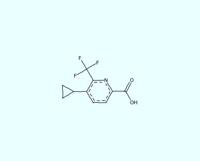 O=C(O)c1ccc(C2CC2)c(C(F)(F)F)n1